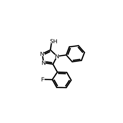 Fc1ccccc1-c1nnc(S)n1-c1ccccc1